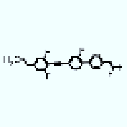 CCCc1cc(F)c(C#Cc2ccc(-c3ccc(C=C(F)F)cc3)c(F)c2)c(F)c1